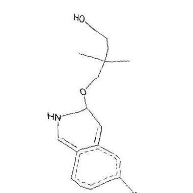 CC(C)(CO)COC1C=c2cc(Br)ccc2=CN1